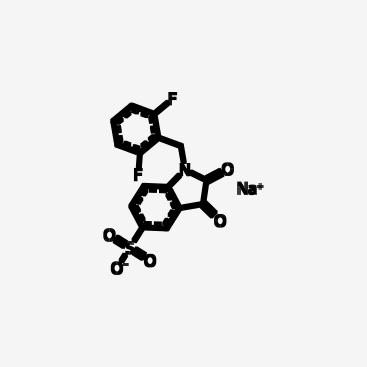 O=C1C(=O)N(Cc2c(F)cccc2F)c2ccc(S(=O)(=O)[O-])cc21.[Na+]